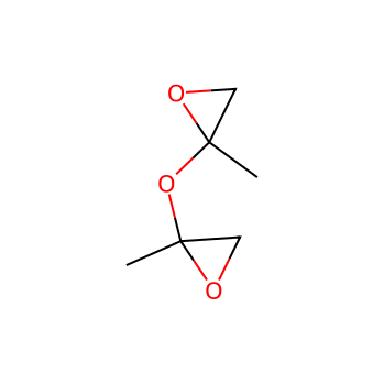 CC1(OC2(C)CO2)CO1